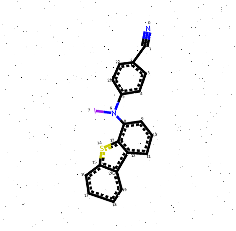 N#Cc1ccc(N(I)c2cccc3c2sc2ccccc23)cc1